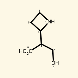 O=C(O)C(CO)C1CCN1